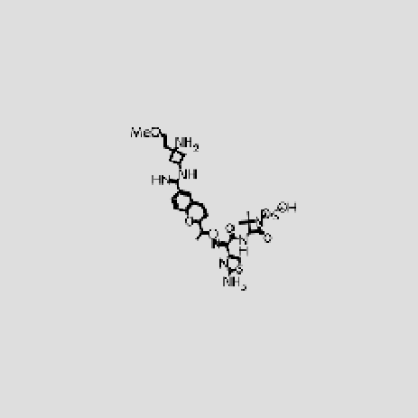 COCCC1(N)CC(NC(=N)c2ccc3c(c2)CCC(C(C)O/N=C(\C(=O)NC2C(=O)N(OSO)C2(C)C)c2csc(N)n2)O3)C1